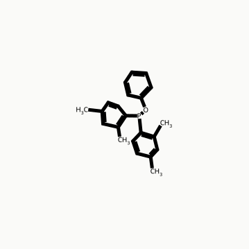 Cc1ccc(P(Oc2ccccc2)c2ccc(C)cc2C)c(C)c1